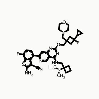 CN(C)C1(CNc2nc(OCC3(CN4CCOCC4)CC(F)(C4CC4)C3)nc3cc(-c4ccc(F)c5sc(N)c(C#N)c45)ncc23)CCC1